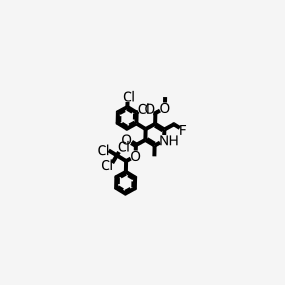 COC(=O)C1=C(CF)NC(C)=C(C(=O)OC(c2ccccc2)C(Cl)(Cl)Cl)C1c1cccc(Cl)c1Cl